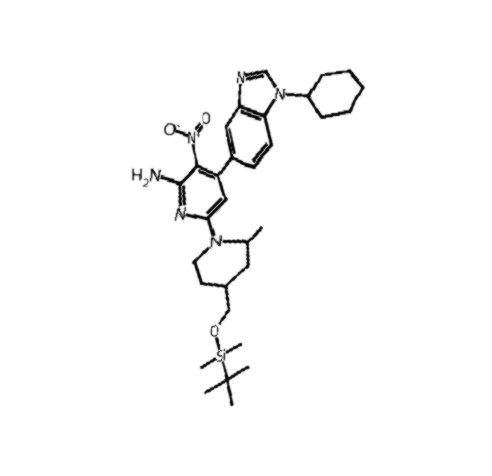 CC1CC(CO[Si](C)(C)C(C)(C)C)CCN1c1cc(-c2ccc3c(c2)ncn3C2CCCCC2)c([N+](=O)[O-])c(N)n1